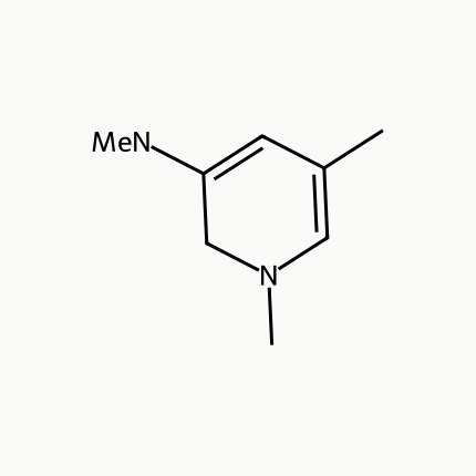 CNC1=CC(C)=CN(C)C1